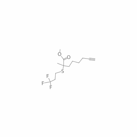 C#CCCCCC(C)(SCCC(F)(F)F)C(=O)OC